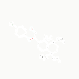 CC1(C)CCC(C)(C)c2cc([C@H](C=O)Oc3ccc(Cl)cc3)ccc21